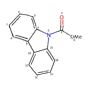 COC(=O)n1c2ccccc2c2ccccc21